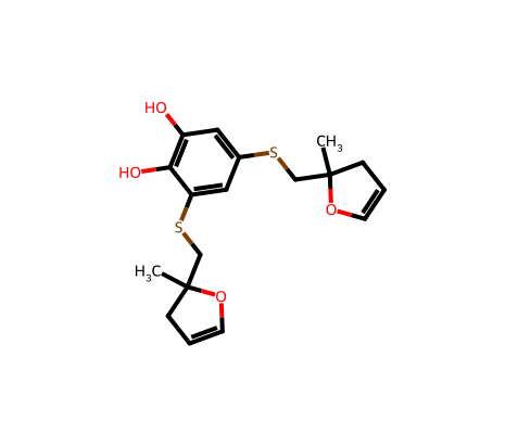 CC1(CSc2cc(O)c(O)c(SCC3(C)CC=CO3)c2)CC=CO1